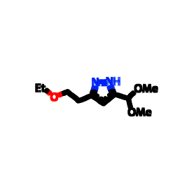 CCOCCc1cc(C(OC)OC)[nH]n1